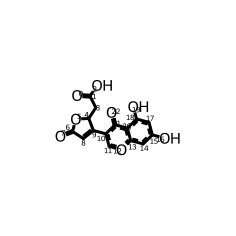 O=C(O)CC1OC(=O)C=C1c1coc2cc(O)cc(O)c2c1=O